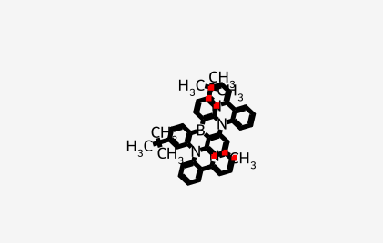 Cc1cc2c3c(c1)N(c1ccccc1-c1ccccn1)c1cc(C(C)(C)C)ccc1B3c1ccc(C(C)(C)C)cc1N2c1ccccc1-c1ccccn1